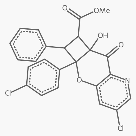 COC(=O)C1C(c2ccccc2)C2(c3ccc(Cl)cc3)Oc3cc(Cl)cnc3C(=O)C12O